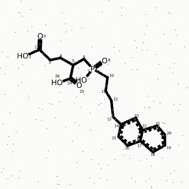 O=C(O)CCC(CP(=O)(O)CCCCc1ccc2ccccc2c1)C(=O)O